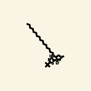 CCCCCCCCCCCCCCCCNC1CN(C)C[N+]1([O-])c1nnc(C(C)(C)C)s1